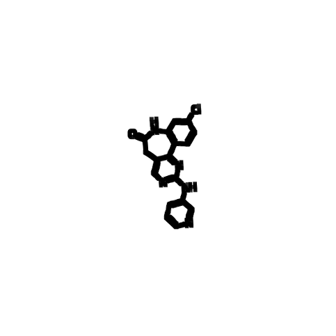 O=C1Cc2cnc(Nc3cccnc3)nc2-c2ccc(Cl)cc2N1